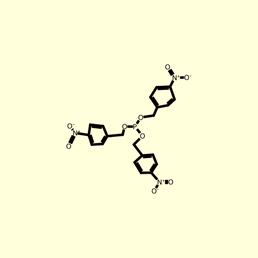 O=[N+]([O-])c1ccc(COP(OCc2ccc([N+](=O)[O-])cc2)OCc2ccc([N+](=O)[O-])cc2)cc1